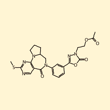 CSc1ncc2c(n1)N1CCCC1CN(c1cccc(-c3nn(CCOC(C)=O)c(=O)o3)c1)C2=O